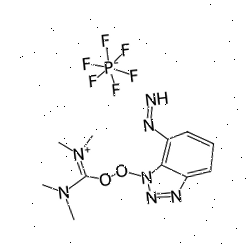 CN(C)C(OOn1nnc2cccc(N=N)c21)=[N+](C)C.F[P-](F)(F)(F)(F)F